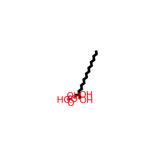 CCCCCCCCCCCCCCCC(O)(CO)COP(=O)(O)O